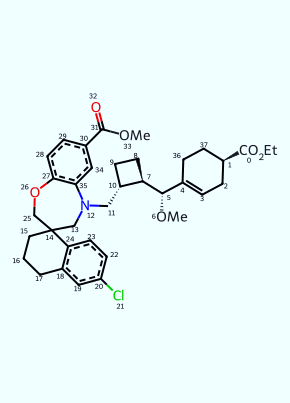 CCOC(=O)[C@H]1CC=C([C@H](OC)[C@@H]2CC[C@H]2CN2CC3(CCCc4cc(Cl)ccc43)COc3ccc(C(=O)OC)cc32)CC1